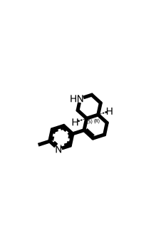 Cc1ccc(C2=CCC[C@@H]3CCNC[C@H]23)cn1